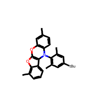 Cc1ccc2c(c1)Oc1oc3c(C)cccc3c1N2c1c(C)cc(C(C)(C)C)cc1C